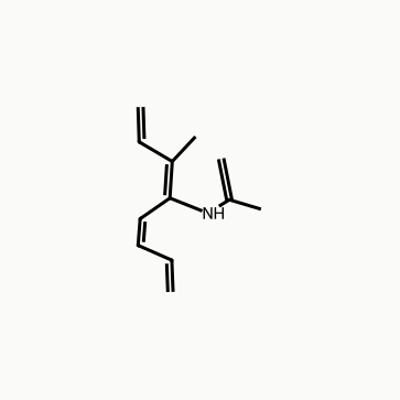 C=C/C=C\C(NC(=C)C)=C(\C)C=C